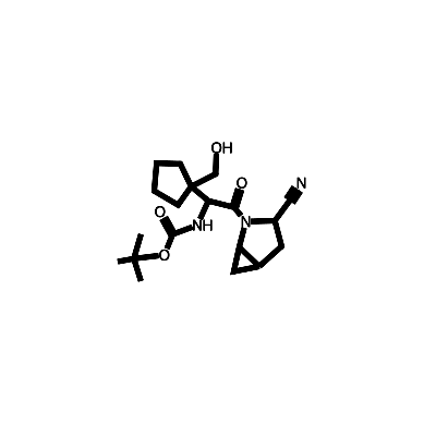 CC(C)(C)OC(=O)NC(C(=O)N1C(C#N)CC2CC21)C1(CO)CCCC1